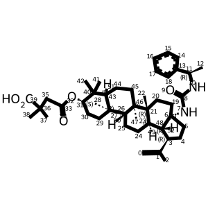 C=C(C)[C@@H]1CC[C@]2(NC(=O)N[C@H](C)c3ccccc3)CC[C@]3(C)[C@H](CC[C@@H]4[C@@]5(C)CC[C@H](OC(=O)CC(C)(C)C(=O)O)C(C)(C)[C@@H]5CC[C@]43C)[C@@H]12